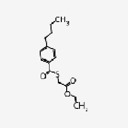 CCCCc1ccc(C(=O)SCC(=O)OCC)cc1